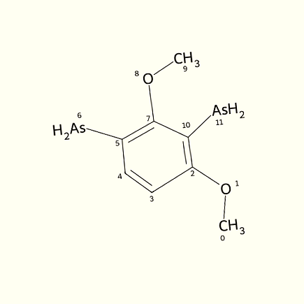 COc1ccc([AsH2])c(OC)c1[AsH2]